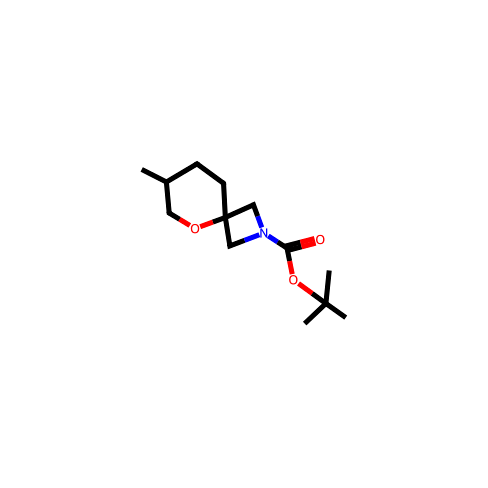 CC1CCC2(CN(C(=O)OC(C)(C)C)C2)OC1